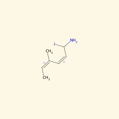 C/C=C(C)\C=C/C(N)I